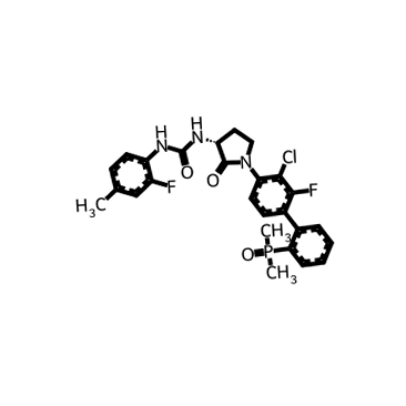 Cc1ccc(NC(=O)N[C@@H]2CCN(c3ccc(-c4ccccc4P(C)(C)=O)c(F)c3Cl)C2=O)c(F)c1